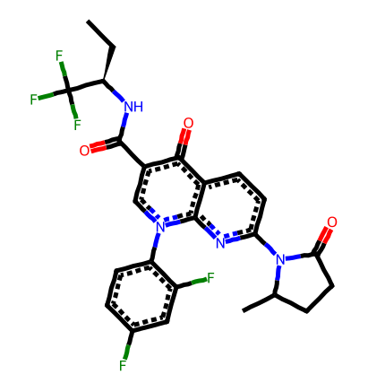 CC[C@@H](NC(=O)c1cn(-c2ccc(F)cc2F)c2nc(N3C(=O)CCC3C)ccc2c1=O)C(F)(F)F